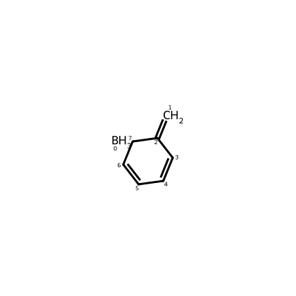 B.C=C1C=CC=CC1